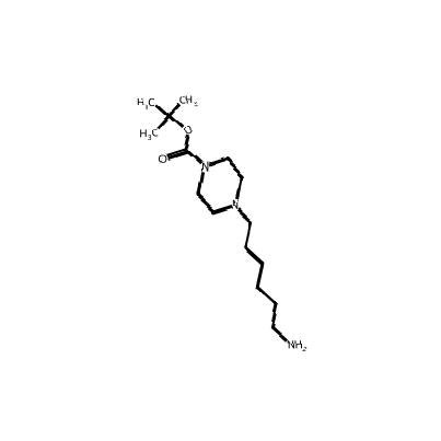 CC(C)(C)OC(=O)N1CCN(CCCCCCN)CC1